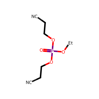 CCOP(=O)(OCCC#N)OCCC#N